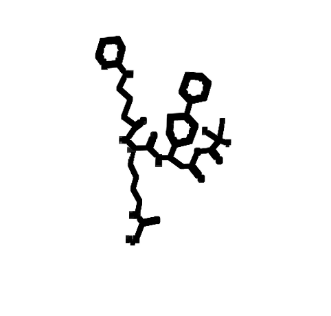 NC(=O)NCCCC[C@H](NC(=O)CCCNc1ccccn1)C(=O)NC(CC(=O)OC(=O)C(F)(F)F)c1ccc(-c2ccccc2)cc1